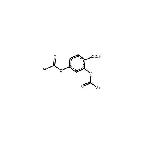 CC(=O)C(=O)Oc1ccc(C(=O)O)c(OC(=O)C(C)=O)c1